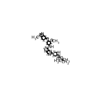 COc1cc(Nc2ncnc3cnc(N4CCC(NC(=O)OC(C)(C)C)CC4)nc23)ccc1Oc1ccc2c(c1)ncn2C